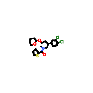 CN(CC(CCOC1CCCCO1)c1ccc(Cl)c(Cl)c1)C(=O)c1cccs1